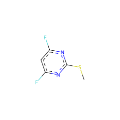 CSc1nc(F)cc(F)n1